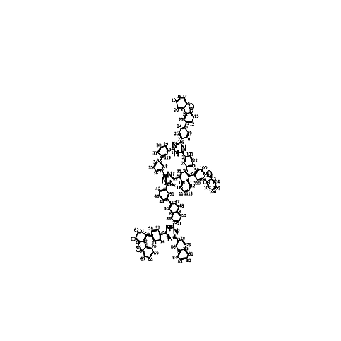 c1ccc(-c2nc(-c3ccc(-c4ccc5oc6ccccc6c5c4)cc3)nc(-c3cccc(-c4cccc(-c5nc(-c6cccc(-c7ccc8ccc(-c9nc(-c%10ccc(-c%11cccc%12oc%13ccccc%13c%11%12)cc%10)nc(-c%10ccc%11ccccc%11c%10)n9)cc8c7)c6)nc(-c6ccc(-c7ccc8oc9ccccc9c8c7)c7ccccc67)n5)c4)c3)n2)cc1